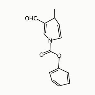 CC1C=CN(C(=O)Oc2ccccc2)C=C1C=O